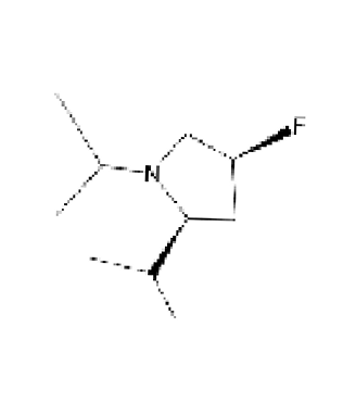 CC(C)[C@@H]1C[C@H](F)CN1C(C)C